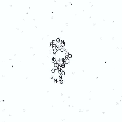 CO[C@@H](C)c1ncccc1-c1c2c3cc(ccc3n1CC(F)(F)F)-c1csc(n1)C[C@H](NC(=O)C(C1CCCC1)N1CCOC3(CN(C(=O)[C@H]4CN4C4CC4)C3)C1)C(=O)N1CCC[C@H](N1)C(=O)OCC(C)(C)C2